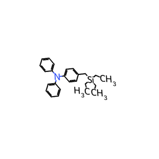 CC[Si](CC)(CC)Cc1ccc(N(c2ccccc2)c2ccccc2)cc1